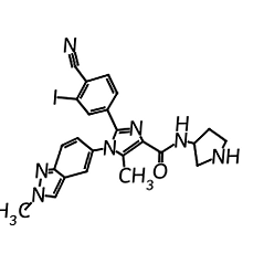 Cc1c(C(=O)NC2CCNC2)nc(-c2ccc(C#N)c(I)c2)n1-c1ccc2nn(C)cc2c1